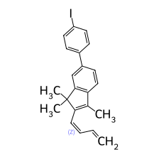 C=C/C=C\C1=C(C)c2ccc(-c3ccc(I)cc3)cc2C1(C)C